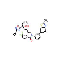 C=CC(O)(CCCCN(C(=O)C1CCC(F)(F)C1)c1cccc(-c2ccc3nc(C)sc3c2)c1)c1nc(C2CC2)no1